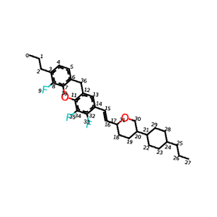 CCCc1ccc2c(c1F)Oc1c(cc(/C=C/C3CCC(C4CCC(CCC)CC4)CO3)c(F)c1F)C2